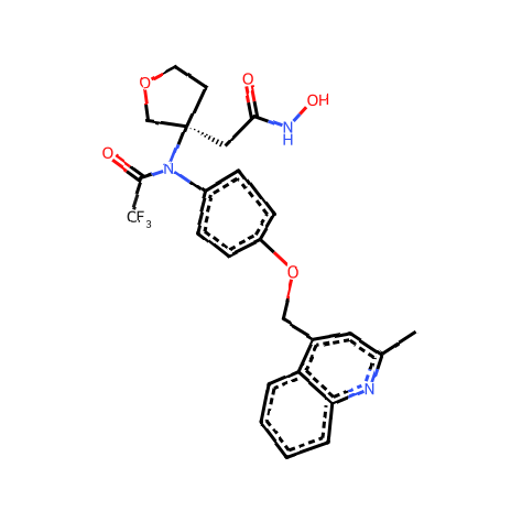 Cc1cc(COc2ccc(N(C(=O)C(F)(F)F)[C@]3(CC(=O)NO)CCOC3)cc2)c2ccccc2n1